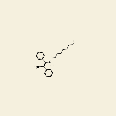 CCCCCCCCOC(=O)C(=C(C#N)c1ccccc1)c1ccccc1